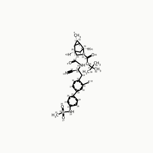 C[C@H]1C2C1[C@@H]1C[C@H]2[C@@H](C(=O)N[C@H](C#N)Cc2ccc(-c3ccc(NS(C)(=O)=O)cc3)cc2F)N1C(=O)OC(C)(C)C